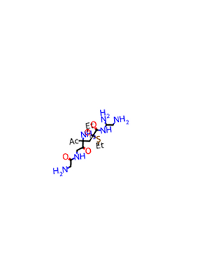 CCO[C@@](CC(N)(C(C)=O)C(=O)CNC(=O)CN)(SCC)C(=O)NC(N)CN